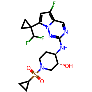 O=S(=O)(C1CC1)N1CC[C@@H](Nc2ncc3c(F)cc(C4(C(F)F)CC4)n3n2)[C@H](O)C1